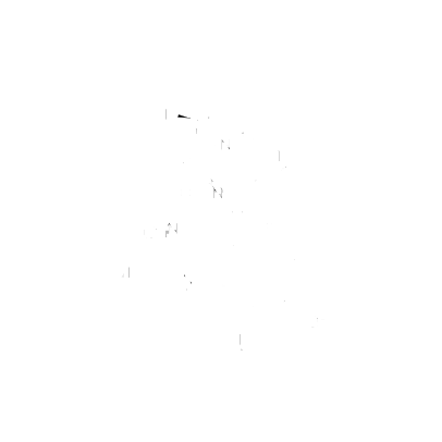 CC(C)(C)OC(=O)N1[C@H]2CC[C@H]1CN(c1nc(F)nc3c(F)c(Br)ccc13)C2